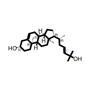 C[C@H](C/C=C/C(C)(C)O)[C@H]1CC[C@H]2[C@@H]3CC=C4C[C@@H](O)CC[C@]4(C)[C@H]3CC[C@]12C